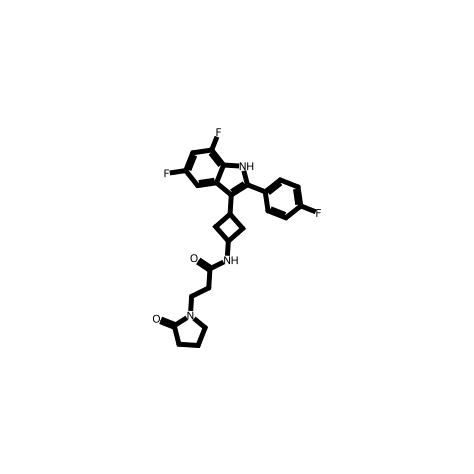 O=C(CCN1CCCC1=O)NC1CC(c2c(-c3ccc(F)cc3)[nH]c3c(F)cc(F)cc23)C1